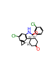 O=C1C[C@H](C2CC2)[C@]2(C(=O)Nc3cc(Cl)ccc32)[C@H](c2cccc(Cl)c2)C1